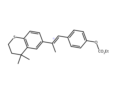 CCOC(=O)Oc1ccc(/C=C(\C)c2ccc3c(c2)C(C)(C)CCS3)cc1